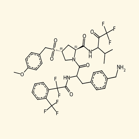 COc1ccc(CS(=O)(=O)[C@@H]2C[C@@H](C(=O)NC(C(=O)C(F)(F)F)C(C)C)N(C(=O)C(Cc3ccc(CN)cc3)NC(=O)C(F)(F)c3ccccc3C(F)(F)F)C2)cc1